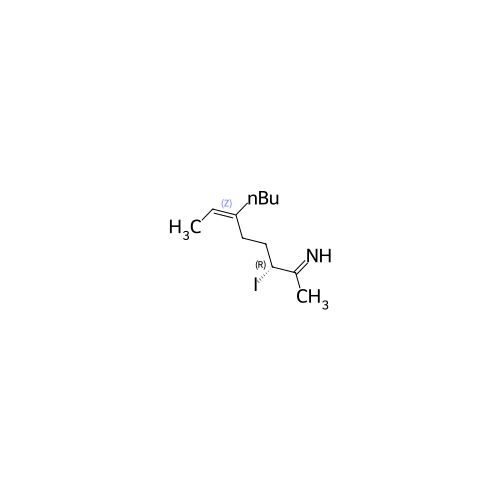 C/C=C(/CCCC)CC[C@@H](I)C(C)=N